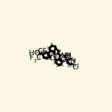 O=S(=O)(NC(c1cc2cccc(-c3cc(C(O)(C(F)(F)F)C(F)(F)F)ccn3)c2s1)c1ccccc1Cl)c1ccc(Cl)nc1